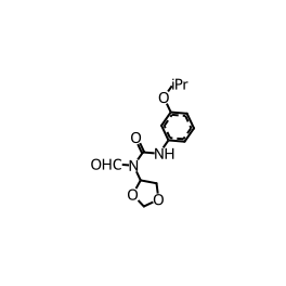 CC(C)Oc1cccc(NC(=O)N(C=O)C2COCO2)c1